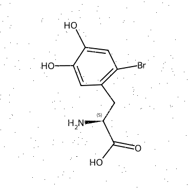 N[C@@H](Cc1cc(O)c(O)cc1Br)C(=O)O